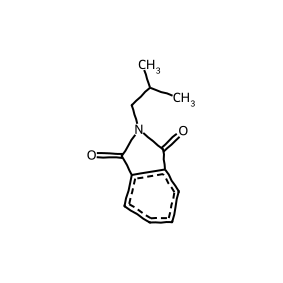 CC(C)CN1C(=O)c2ccccc2C1=O